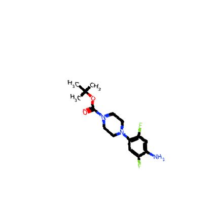 CC(C)(C)OC(=O)N1CCN(c2cc(F)c(N)cc2F)CC1